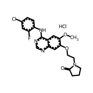 COc1cc2c(Nc3ccc(Cl)cc3F)ncnc2cc1OCCN1CCCC1=O.Cl